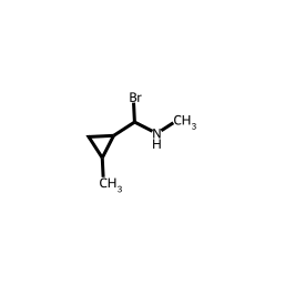 CNC(Br)C1CC1C